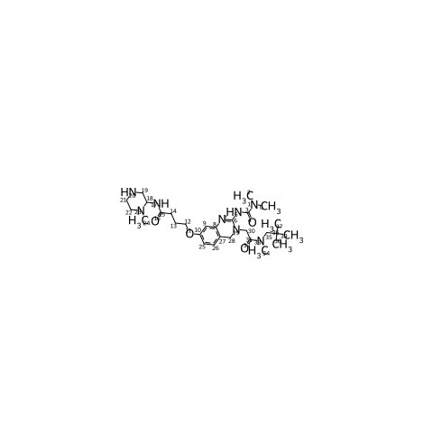 CN(C)C(=O)NC1=Nc2cc(OCCCC(=O)NC3CNCCN3C)ccc2CN1CC(=O)N(C)CC(C)(C)C